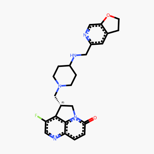 O=c1ccc2ncc(F)c3c2n1C[C@H]3CN1CCC(NCc2cc3c(cn2)OCC3)CC1